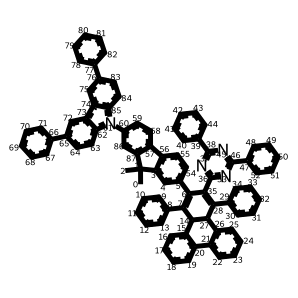 CC1(C)c2cc(C3=C(c4ccccc4)C4c5ccccc5-c5ccccc5C4C(c4ccccc4)=C3c3nc(-c4ccccc4)nc(-c4ccccc4)n3)ccc2-c2ccc(-n3c4ccc(-c5ccccc5)cc4c4cc(-c5ccccc5)ccc43)cc21